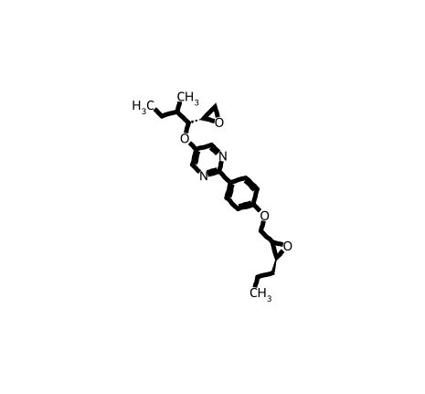 CCC[C@@H]1OC1COc1ccc(-c2ncc(OC(C(C)CC)[C@@H]3CO3)cn2)cc1